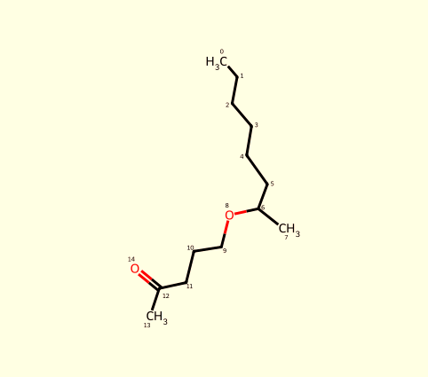 CCCCCCC(C)OCCCC(C)=O